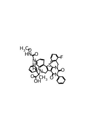 CONC(=O)Nc1ccc(-c2sc3c(c2CN(C)C(C)(C(=O)O)c2ccccc2)c(=O)n(-c2ccccc2)c(=O)n3Cc2c(F)cccc2F)cc1